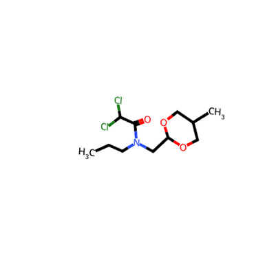 CCCN(CC1OCC(C)CO1)C(=O)C(Cl)Cl